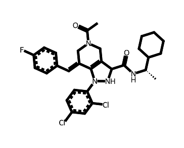 CC(=O)N1CC2=C(/C(=C/c3ccc(F)cc3)C1)N(c1ccc(Cl)cc1Cl)NC2C(=O)N[C@@H](C)C1CCCCC1